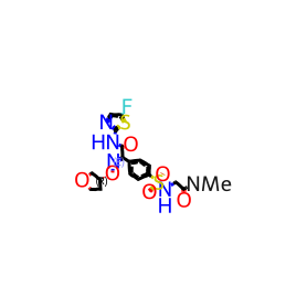 CNC(=O)CNS(=O)(=O)c1ccc(/C(=N\O[C@@H]2CCOC2)C(=O)Nc2ncc(F)s2)cc1